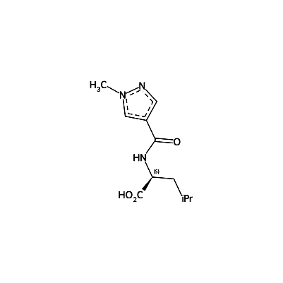 CC(C)C[C@H](NC(=O)c1cnn(C)c1)C(=O)O